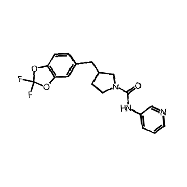 O=C(Nc1cccnc1)N1CCC(Cc2ccc3c(c2)OC(F)(F)O3)C1